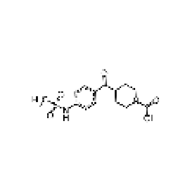 CS(=O)(=O)Nc1ccc(C(=O)C2CCN(C(=O)O)CC2)cc1